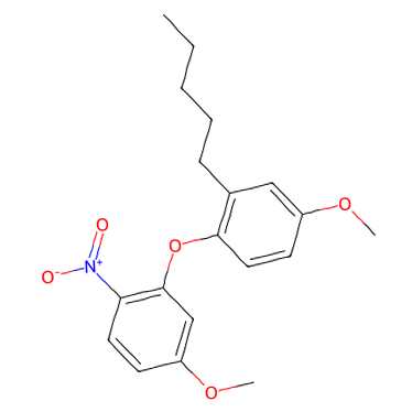 CCCCCc1cc(OC)ccc1Oc1cc(OC)ccc1[N+](=O)[O-]